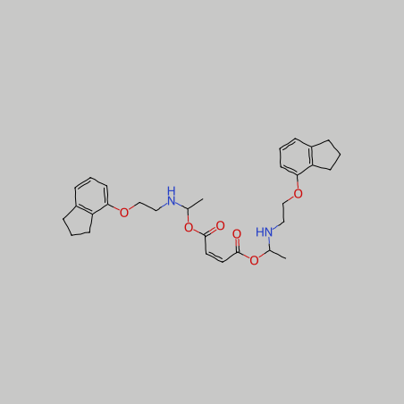 CC(NCCOc1cccc2c1CCC2)OC(=O)/C=C\C(=O)OC(C)NCCOc1cccc2c1CCC2